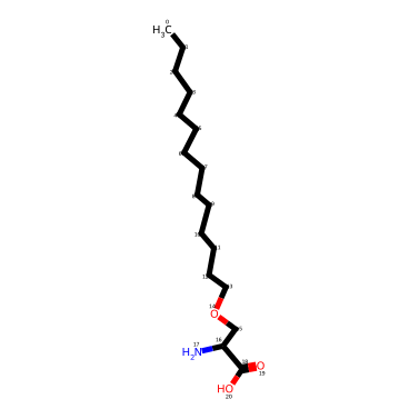 CCCCCCCCCCCCCCOCC(N)C(=O)O